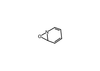 C1=CC2ON2C=C1